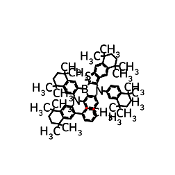 Cc1cc2c3c(c1)N(c1ccc4c(c1)C(C)(C)CCC4(C)C)c1c(sc4cc5c(cc14)C(C)(C)CCC5(C)C)B3c1cc3c(cc1N2c1cc2c(cc1-c1ccccc1)C(C)(C)CCC2(C)C)C(C)(C)CCC3(C)C